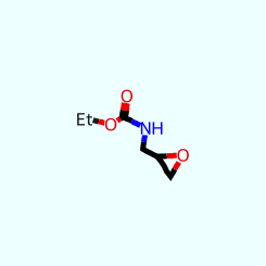 CCOC(=O)NCC1CO1